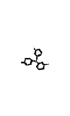 Cc1ccc(B(c2cccc(F)c2)c2cccc(F)c2)cc1